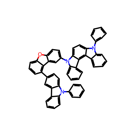 c1ccc(-n2c3ccccc3c3cc(-c4cccc5oc6ccc(-n7c8ccccc8c8c9c%10ccccc%10n(-c%10ccccc%10)c9ccc87)cc6c45)ccc32)cc1